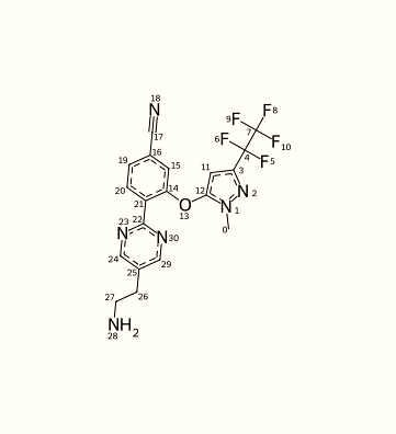 Cn1nc(C(F)(F)C(F)(F)F)cc1Oc1cc(C#N)ccc1-c1ncc(CCN)cn1